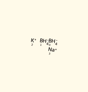 [BH4-].[BH4-].[K+].[Na+]